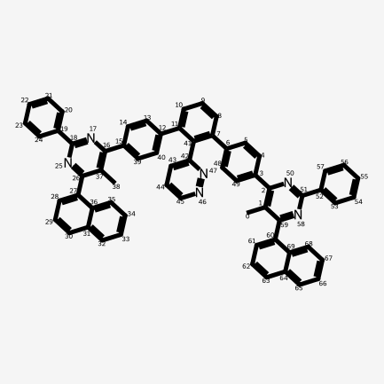 Cc1c(-c2ccc(-c3cccc(-c4ccc(-c5nc(-c6ccccc6)nc(-c6cccc7ccccc67)c5C)cc4)c3-c3cccnn3)cc2)nc(-c2ccccc2)nc1-c1cccc2ccccc12